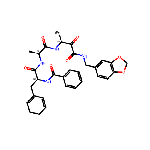 CC(C)[C@H](NC(=O)[C@H](C)NC(=O)[C@H](CC1=CCCC=C1)NC(=O)c1ccccc1)C(=O)C(=O)NCc1ccc2c(c1)OCO2